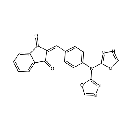 O=C1C(=Cc2ccc(N(c3nnco3)c3nnco3)cc2)C(=O)c2ccccc21